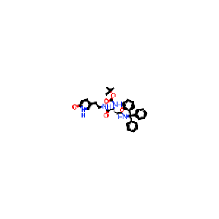 CC(C)(C)OC(=O)N[C@H](CC(=O)NC(c1ccccc1)(c1ccccc1)c1ccccc1)C(=O)NCCc1ccc(=O)[nH]c1